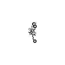 CC(=O)C(CCCc1ccccc1)c1nc(C)c2c(=O)[nH]c(Cc3ccc4ncccc4c3)nn12